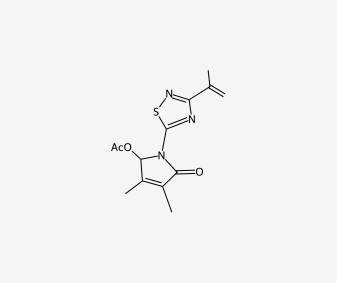 C=C(C)c1nsc(N2C(=O)C(C)=C(C)C2OC(C)=O)n1